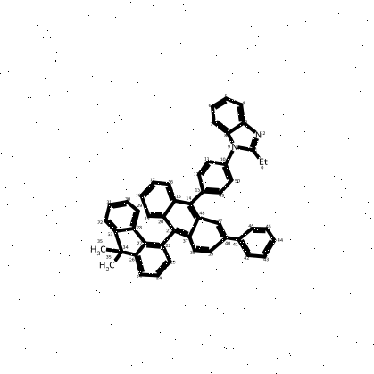 CCc1nc2ccccc2n1-c1ccc(-c2c3ccccc3c(-c3cccc4c3-c3ccccc3C4(C)C)c3ccc(-c4ccccc4)cc23)cc1